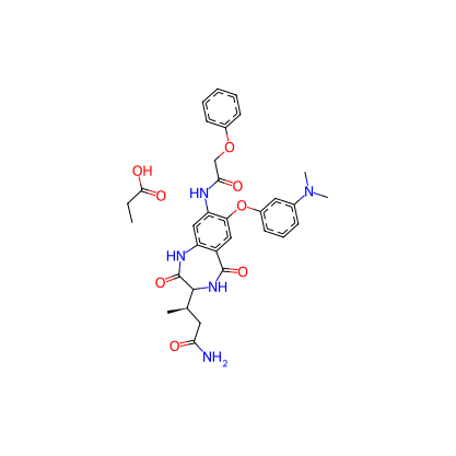 CCC(=O)O.C[C@H](CC(N)=O)C1NC(=O)c2cc(Oc3cccc(N(C)C)c3)c(NC(=O)COc3ccccc3)cc2NC1=O